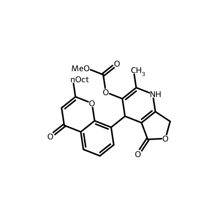 CCCCCCCCc1cc(=O)c2cccc(C3C(OC(=O)OC)=C(C)NC4=C3C(=O)OC4)c2o1